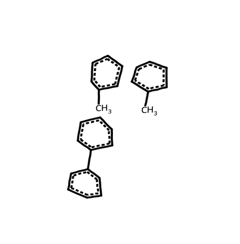 Cc1ccccc1.Cc1ccccc1.c1ccc(-c2ccccc2)cc1